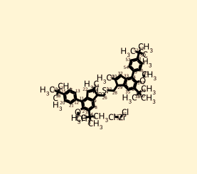 COc1c(C(C)(C)C)cc2c(c1-c1ccc(C(C)(C)C)cc1)C=C(C)C2C[SiH2]CC1C(C)=Cc2c1cc(C(C)(C)C)c(OC)c2-c1ccc(C(C)(C)C)cc1.[Cl][Zr][Cl]